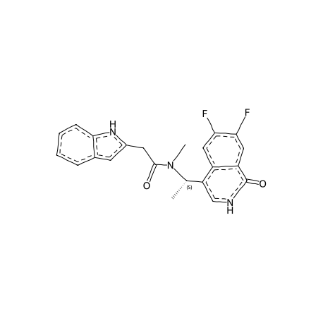 C[C@@H](c1c[nH]c(=O)c2cc(F)c(F)cc12)N(C)C(=O)Cc1cc2ccccc2[nH]1